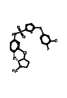 CN1CCC(Oc2cc(NS(=O)(=O)c3ccc(Sc4ccc(F)c(Cl)c4)s3)ccc2C(F)(F)F)C1